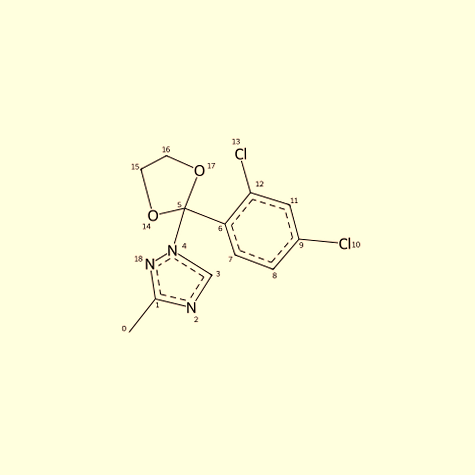 Cc1ncn(C2(c3ccc(Cl)cc3Cl)OCCO2)n1